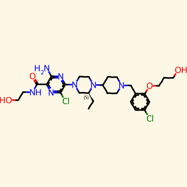 CC[C@H]1CN(c2nc(N)c(C(=O)NCCO)nc2Cl)CCN1C1CCN(Cc2ccc(Cl)cc2OCCCO)CC1